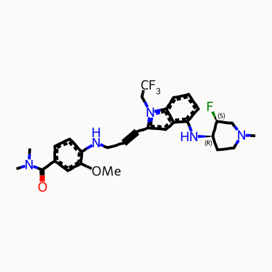 COc1cc(C(=O)N(C)C)ccc1NCC#Cc1cc2c(N[C@@H]3CCN(C)C[C@@H]3F)cccc2n1CC(F)(F)F